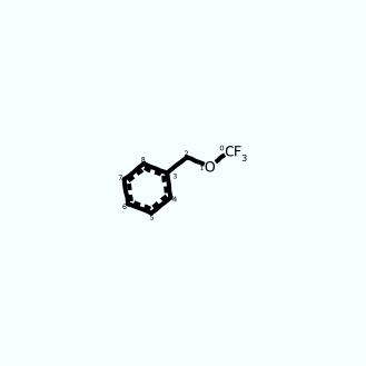 FC(F)(F)OCc1ccccc1